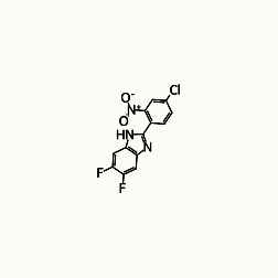 O=[N+]([O-])c1cc(Cl)ccc1-c1nc2cc(F)c(F)cc2[nH]1